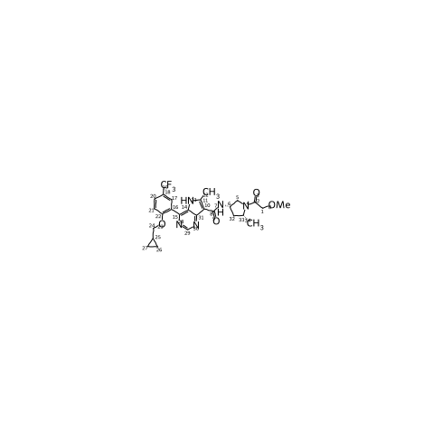 COCC(=O)N1C[C@@H](NC(=O)c2c(C)[nH]c3c(-c4cc(C(F)(F)F)ccc4OCC4CC4)ncnc23)C[C@H]1C